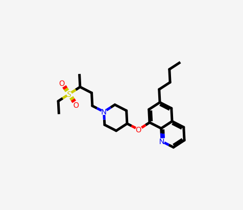 CCCCc1cc(OC2CCN(CCC(C)S(=O)(=O)CC)CC2)c2ncccc2c1